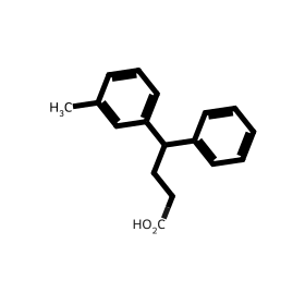 Cc1cccc(C(CCC(=O)O)c2ccccc2)c1